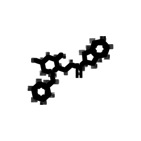 CC1CC(C)C(CCNC2Cc3ccccc3C2)N(Cc2ccccc2)C1